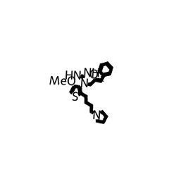 COc1csc(CCCCN2CCCC2)c1N(Cc1cc2ccccc2o1)C(=N)N